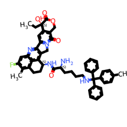 CC[C@@]1(O)C(=O)OCc2c1cc1n(c2=O)Cc2c-1nc1cc(F)c(C)c3c1c2[C@@H](NC(=O)[C@@H](N)CCCCNC(c1ccccc1)(c1ccccc1)c1ccc(C)cc1)CC3